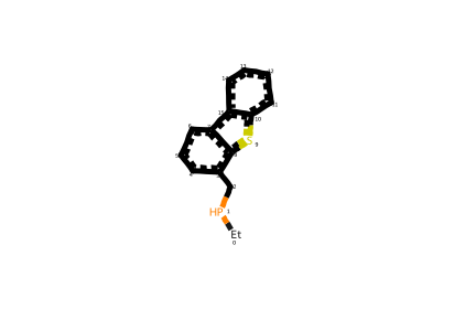 CCPCc1cccc2c1sc1ccccc12